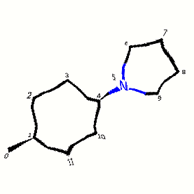 C[C@H]1CC[C@@H](N2CCCC2)CC1